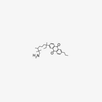 CCCc1ccc2c(c1)C(=O)c1ccc(C(C)(CC)CCCC(C)C(C)(C)CN)cc1C2=O